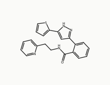 O=C(NCCc1ccccn1)c1ccccc1-c1cc(-c2cccs2)[nH]n1